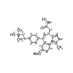 CCNC(=O)C[C@@H]1N=C(c2ccc(SC[Si](C)(C)O)cc2)c2cc(OC)ccc2-n2c(C)nnc21